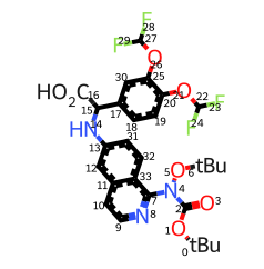 CC(C)(C)OC(=O)N(OC(C)(C)C)c1nccc2cc(NC(C(=O)O)c3ccc(OC(F)F)c(OC(F)F)c3)ccc12